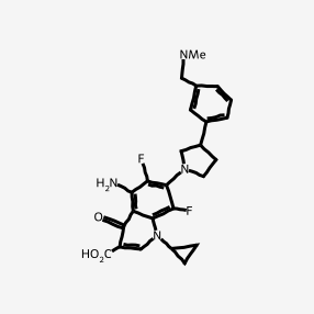 CNCc1cccc(C2CCN(c3c(F)c(N)c4c(=O)c(C(=O)O)cn(C5CC5)c4c3F)C2)c1